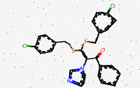 O=C(C(=C(SCc1ccc(Cl)cc1)SCc1ccc(Cl)cc1)n1ccnc1)c1ccccc1